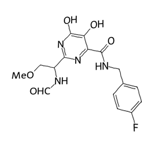 COCC(NC=O)c1nc(O)c(O)c(C(=O)NCc2ccc(F)cc2)n1